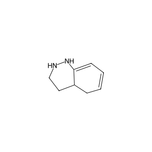 C1=CCC2CCNNC2=C1